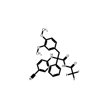 COc1ccc(CC(Nc2ccc(C#N)cn2)(C(=O)NC(=O)C(F)(F)F)c2ccccc2)cc1OC